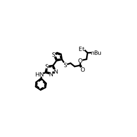 CCCCC(CC)COC(=O)CCSc1ccsc1-c1nnc(Nc2ccccc2)s1